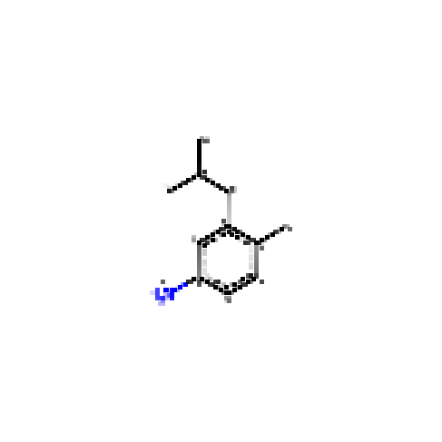 Cc1ccc(N)cc1CC(C)C